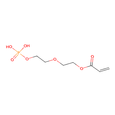 C=CC(=O)OCCOCCOP(=O)(O)O